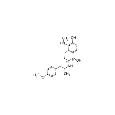 CNc1c(O)ccc2c1CC[C@@H](NC(C)Cc1ccc(OC)cc1)[C@@H]2O